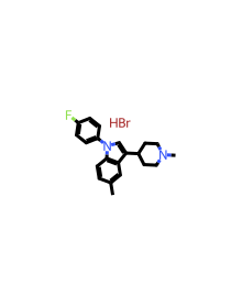 Br.Cc1ccc2c(c1)c(C1CCN(C)CC1)cn2-c1ccc(F)cc1